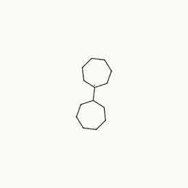 C1CCC[C](C2CCCCCC2)CC1